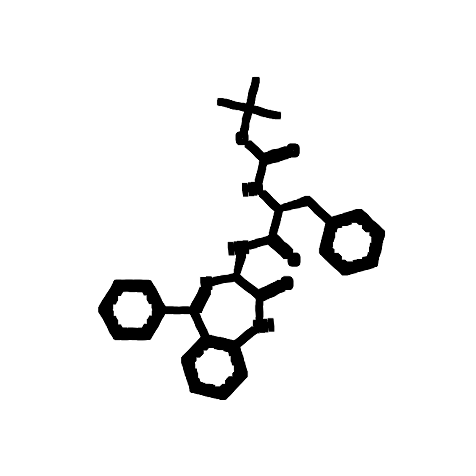 CC(C)(C)OC(=O)N[C@@H](Cc1ccccc1)C(=O)N[C@@H]1N=C(c2ccccc2)c2ccccc2NC1=O